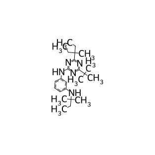 CCC(C)(C)Nc1cccc(Nc2nc(C(C)(C)C)nc(C(C)(CC)CC)n2)c1